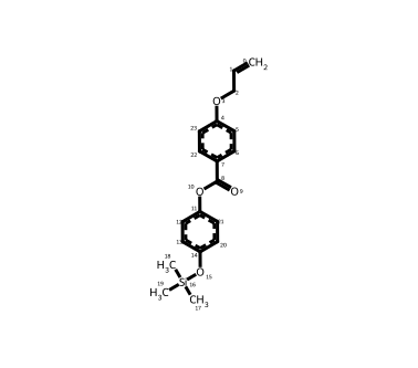 C=CCOc1ccc(C(=O)Oc2ccc(O[Si](C)(C)C)cc2)cc1